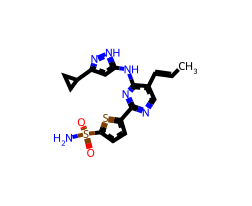 C/C=C/c1cnc(-c2ccc(S(N)(=O)=O)s2)nc1Nc1cc(C2CC2)n[nH]1